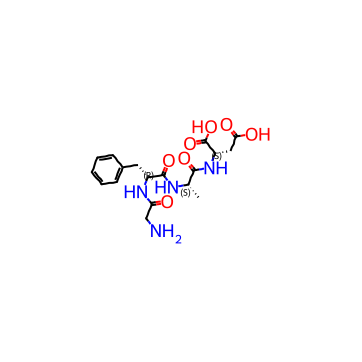 C[C@H](NC(=O)[C@@H](Cc1ccccc1)NC(=O)CN)C(=O)N[C@@H](CC(=O)O)C(=O)O